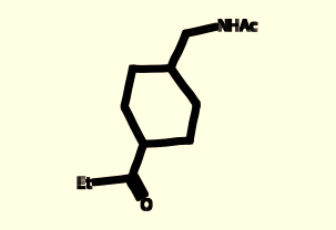 CCC(=O)C1CCC(CNC(C)=O)CC1